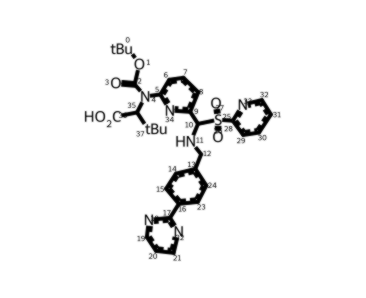 CC(C)(C)OC(=O)N(c1cccc(C(NCc2ccc(-c3ncccn3)cc2)S(=O)(=O)c2ccccn2)n1)C(C(=O)O)C(C)(C)C